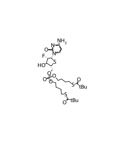 CC(C)(C)C(=O)SCCCCOP(=O)(OCCCCSC(=O)C(C)(C)C)OC[C@H]1S[C@@H](n2ccc(N)nc2=O)[C@@H](F)[C@@H]1O